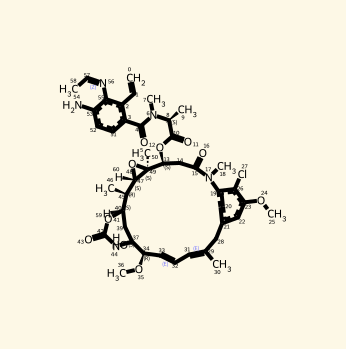 C=Cc1c(C(=O)N(C)[C@@H](C)C(=O)O[C@H]2CC(=O)N(C)c3cc(cc(OC)c3Cl)C/C(C)=C/C=C/[C@@H](OC)[C@@]3(O)C[C@H](OC(=O)N3)[C@@H](C)[C@@H]3O[C@@]23C)ccc(N)c1/N=C\C